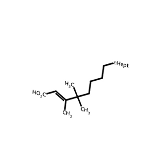 CCCCCCCCCCCC(C)(C)/C(C)=C/C(=O)O